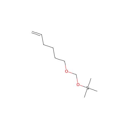 C=CCCCCOCO[Si](C)(C)C